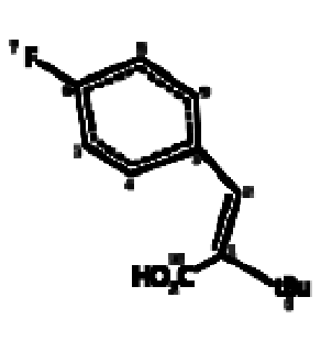 CC(C)(C)C(=Cc1ccc(F)cc1)C(=O)O